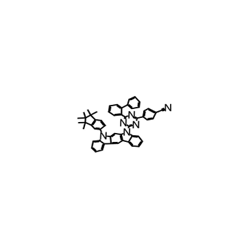 CC1(C)c2ccc(-n3c4ccccc4c4cc5c6ccccc6n(-c6nc(-c7ccc(C#N)cc7)nc(-c7ccccc7-c7ccccc7)n6)c5cc43)cc2C(C)(C)C1(C)C